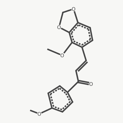 COc1ccc(C(=O)C=Cc2ccc3c(c2OC)OCO3)cc1